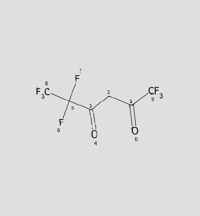 O=C(CC(=O)C(F)(F)C(F)(F)F)C(F)(F)F